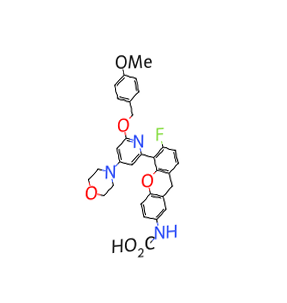 COc1ccc(COc2cc(N3CCOCC3)cc(-c3c(F)ccc4c3Oc3ccc(NC(=O)O)cc3C4)n2)cc1